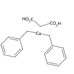 O=C(O)CC(=O)O.c1ccc([CH2][Ca][CH2]c2ccccc2)cc1